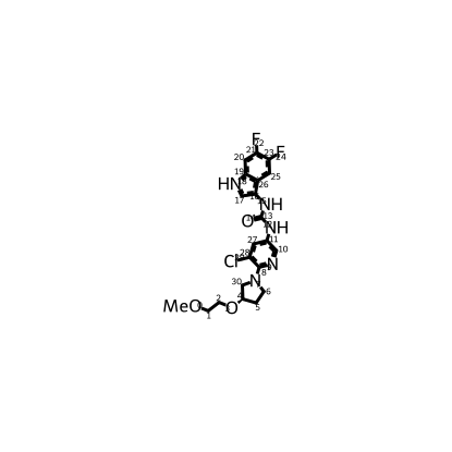 COCCO[C@@H]1CCN(c2ncc(NC(=O)Nc3c[nH]c4cc(F)c(F)cc34)cc2Cl)C1